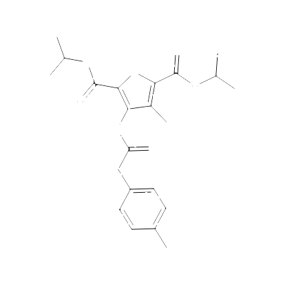 Cc1ccc(CC(=S)Oc2c(C(=O)OC(C)C)sc(C(=O)OC(C)C)c2C)cc1